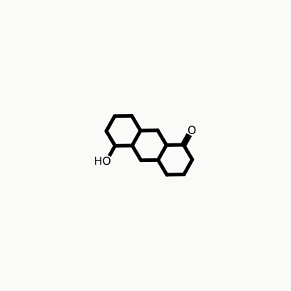 O=C1CCCC2CC3C(O)CCCC3CC12